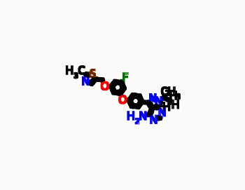 [2H]C([2H])([2H])C(C)n1nc(-c2ccc(Oc3cc(F)cc(OCc4cnc(C)s4)c3)cc2)c2c(N)ncnc21